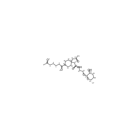 CC(=O)CCCCC(=O)N1CCC(CC(C)=O)(CC(=O)NCCO[C@@H]2O[C@@H](C)CC[C@@H]2O)CC1